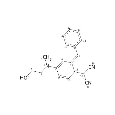 CN(CCO)C1=CC(=Cc2ccccc2)C(C(C#N)C#N)C=C1